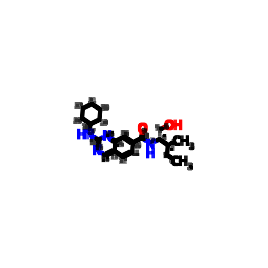 CC[C@H](C)[C@@H](CO)NC(=O)c1ccc2cnc(NC3CCCCC3)nc2c1